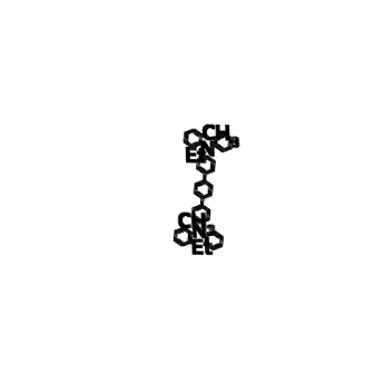 CCc1cccc(C)c1N(c1ccccc1)c1ccc(-c2ccc(-c3ccc(N(c4ccccc4)c4c(C)cccc4CC)cc3)cc2)cc1